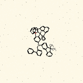 CC1(C)c2ccccc2-c2cc(N(Cc3ccccc3-c3ccccc3)c3ccc4c(c3)C3(c5ccccc5-4)c4ccccc4-c4cccc5ccc(-c6ccccc6)c3c45)ccc21